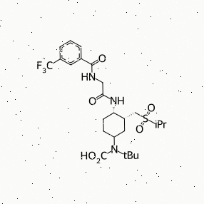 CC(C)S(=O)(=O)C[C@@H]1CC(N(C(=O)O)C(C)(C)C)CC[C@@H]1NC(=O)CNC(=O)c1cccc(C(F)(F)F)c1